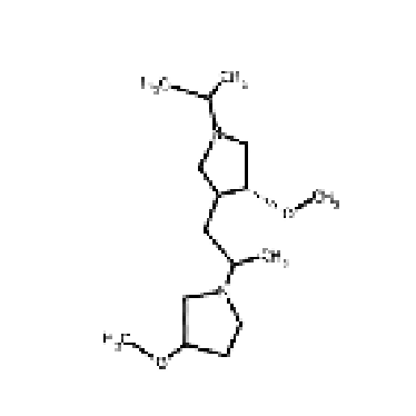 COC1CCN(C(C)CC2CN(C(C)C)C[C@@H]2OC)C1